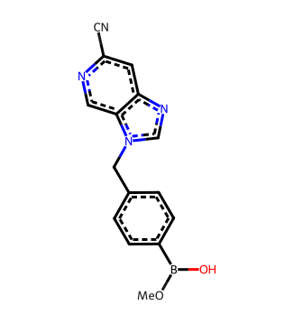 COB(O)c1ccc(Cn2cnc3cc(C#N)ncc32)cc1